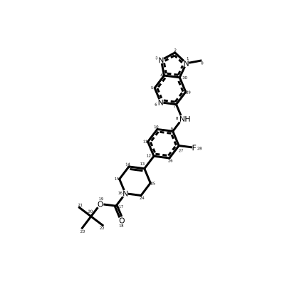 Cn1cnc2cnc(Nc3ccc(C4=CCN(C(=O)OC(C)(C)C)CC4)cc3F)cc21